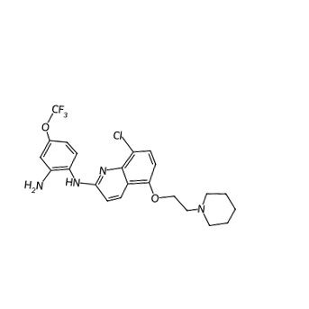 Nc1cc(OC(F)(F)F)ccc1Nc1ccc2c(OCCN3CCCCC3)ccc(Cl)c2n1